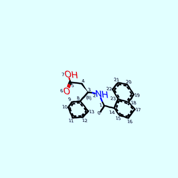 CC(N[C@H](CC(=O)O)c1ccccc1)c1cccc2ccccc12